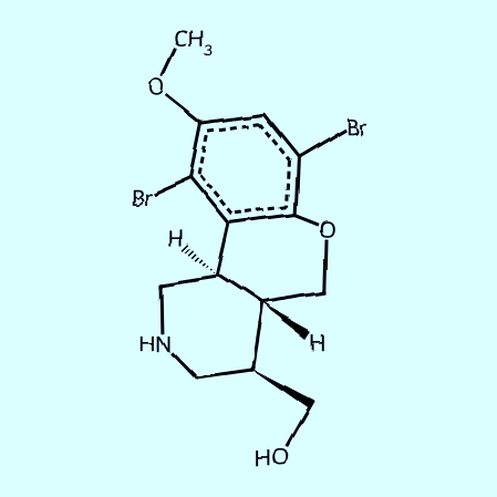 COc1cc(Br)c2c(c1Br)[C@@H]1CNC[C@H](CO)[C@H]1CO2